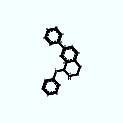 c1ccc(O[C]2NCCc3ccc(-c4ccccc4)cc32)cc1